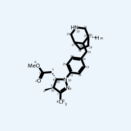 COC(=O)C[C@H]1[C@H](C)C(C(F)(F)F)=NN1c1ccc(CC2C3CC[C@@H]2CNC3)cc1